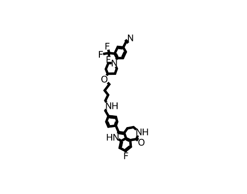 N#Cc1ccc(N2CCC(OCCCCNCc3ccc(-c4[nH]c5cc(F)cc6c5c4CCNC6=O)cc3)CC2)c(C(F)(F)F)c1